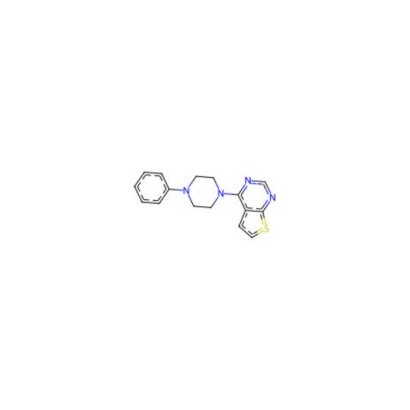 c1ccc(N2CCN(c3ncnc4sccc34)CC2)cc1